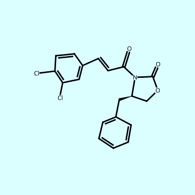 O=C(/C=C/c1ccc(Cl)c(Cl)c1)N1C(=O)OC[C@H]1Cc1ccccc1